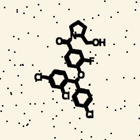 O=C(c1ccc(OC(c2ccc(Cl)cc2)c2ccc(Cl)cc2Cl)c(F)c1)N1CCCC1CO